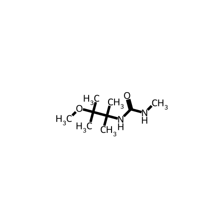 CNC(=O)NC(C)(C)C(C)(C)OC